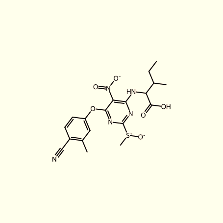 CCC(C)C(Nc1nc([S+](C)[O-])nc(Oc2ccc(C#N)c(C)c2)c1[N+](=O)[O-])C(=O)O